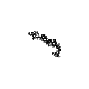 CN(CCCC1CNC(C)(C)C1)c1ccc(S(=O)(=O)NC(=O)c2ccc(-n3ccc(OCCC4(C(F)(F)F)CC4)n3)nc2Cl)cn1